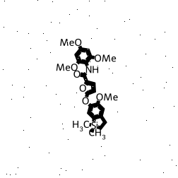 COc1cc(OC)c(NC(=O)c2ccc(Oc3cc4c(cc3OC)CC[Si]4(C)C)o2)c(OC)c1